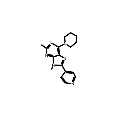 Cc1nc(N2CCCCC2)c2nc(-c3ccncc3)n(C)c2n1